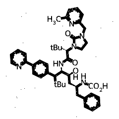 Cc1cccc(CN2CCN([C@H](C(=O)N[C@@H](C(c3ccc(-c4ccccn4)cc3)C(C)(C)C)[C@@H](O)C[C@H](Cc3ccccc3)NC(=O)O)C(C)(C)C)C2=O)n1